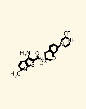 Cc1ccc2c(N)c(C(=O)N[C@H]3COc4cc(N5CCN[C@H](C(F)(F)F)C5)ccc4C3)sc2n1